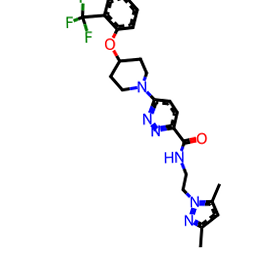 Cc1cc(C)n(CCNC(=O)c2ccc(N3CCC(Oc4ccccc4C(F)(F)F)CC3)nn2)n1